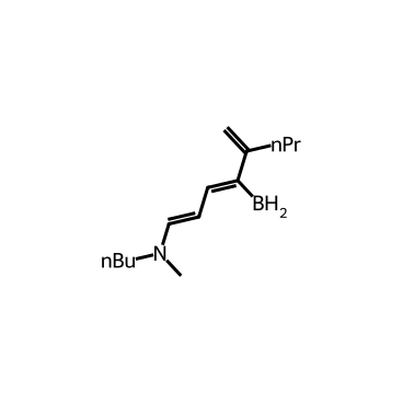 B/C(=C\C=C\N(C)CCCC)C(=C)CCC